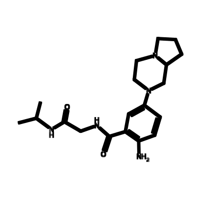 CC(C)NC(=O)CNC(=O)c1cc(N2CCN3CCCC3C2)ccc1N